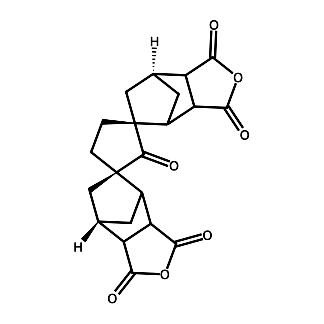 O=C1OC(=O)C2C1C1C[C@H]2C[C@]12CC[C@]1(C[C@@H]3CC1C1C(=O)OC(=O)C13)C2=O